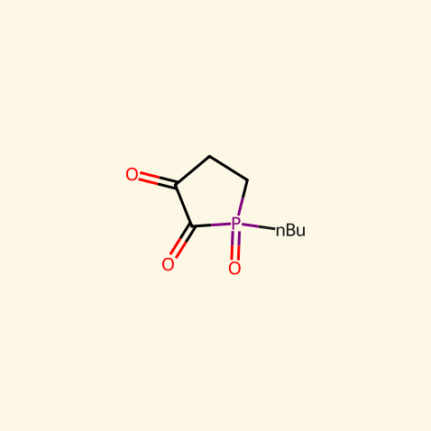 CCCCP1(=O)CCC(=O)C1=O